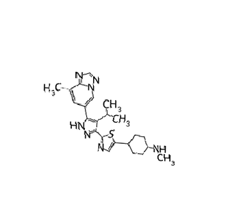 CNC1CCC(c2cnc(-c3n[nH]c(-c4cc(C)c5ncnn5c4)c3C(C)C)s2)CC1